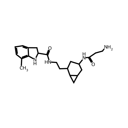 Cc1cccc2c1NC(C(=O)NCCC1CC(NC(=O)CCN)CC3CC13)C2